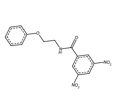 O=C(NCCOc1ccccc1)c1cc([N+](=O)[O-])cc([N+](=O)[O-])c1